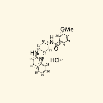 COc1cccc(C(=O)N[C@H]2CC[C@@H](Nc3ccc4ccccc4n3)CC2)c1.Cl